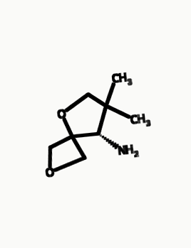 CC1(C)COC2(COC2)[C@H]1N